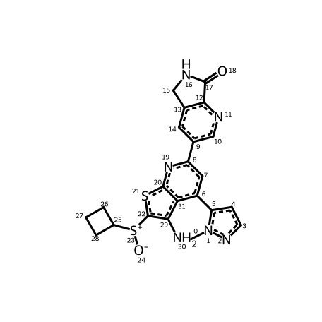 Cn1nccc1-c1cc(-c2cnc3c(c2)CNC3=O)nc2sc([S+]([O-])C3CCC3)c(N)c12